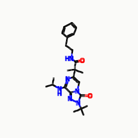 CC(C)Nc1nc(C(C)(C)C(=O)NCCc2ccccc2)cn2c(=O)n(C(C)(C)C)nc12